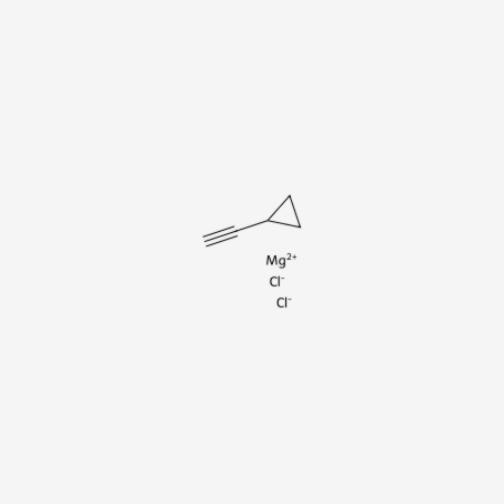 C#CC1CC1.[Cl-].[Cl-].[Mg+2]